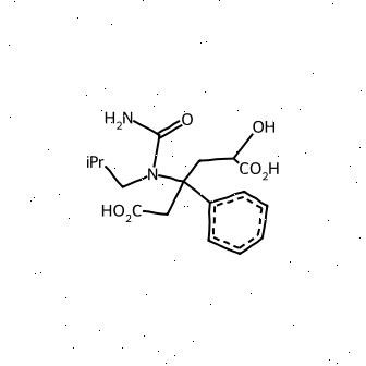 CC(C)CN(C(N)=O)C(CC(=O)O)(CC(O)C(=O)O)c1ccccc1